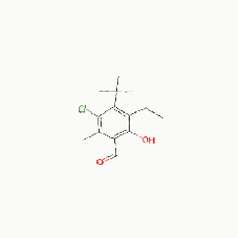 CCc1c(O)c(C=O)c(C)c(Cl)c1C(C)(C)C